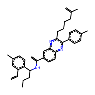 C=Cc1cc(C)ccc1C(CCC)NC(=C)c1ccc2nc(-c3ccc(C)cc3)c(CCCCC(=C)C)nc2c1